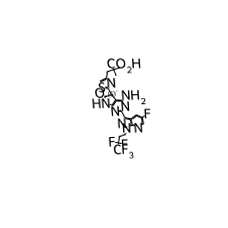 CC(C)(Cc1csc([C@]2(C)C(=O)Nc3nc(-c4nn(CCC(F)(F)C(F)(F)F)c5ncc(F)cc45)nc(N)c32)n1)C(=O)O